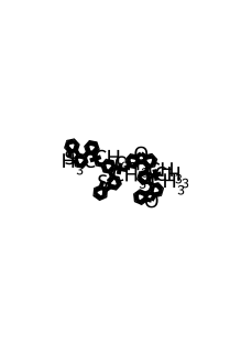 CC(C)(C)c1c(-c2cccc3oc4ccccc4c23)cccc1-c1cccc2oc3ccc(CC(C)(C)c4ccc(CC(C)(C)c5ccccc5-c5cccc6sc7ccccc7c56)cc4-c4cccc5c4sc4ccccc45)cc3c12